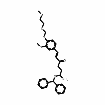 COCCOCOc1ccc(C=CC(=O)CCC(N)OC(c2ccccc2)c2ccccc2)cc1OC